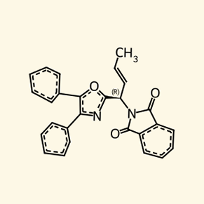 CC=C[C@H](c1nc(-c2ccccc2)c(-c2ccccc2)o1)N1C(=O)c2ccccc2C1=O